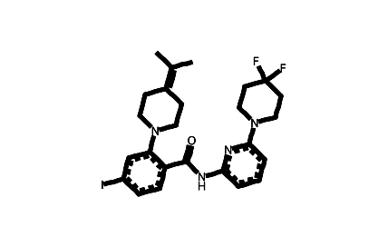 CC(C)=C1CCN(c2cc(I)ccc2C(=O)Nc2cccc(N3CCC(F)(F)CC3)n2)CC1